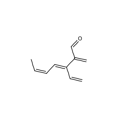 C=C/C(=C\C=C/C)C(=C)C=O